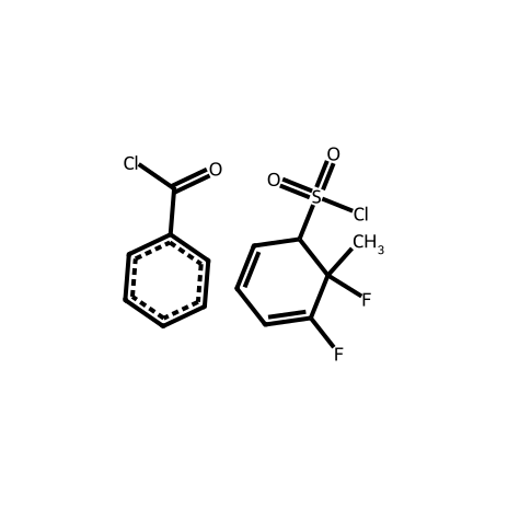 CC1(F)C(F)=CC=CC1S(=O)(=O)Cl.O=C(Cl)c1ccccc1